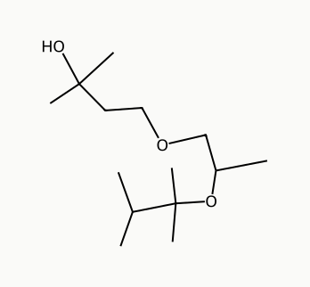 CC(COCCC(C)(C)O)OC(C)(C)C(C)C